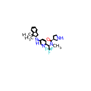 CN(C(=O)[C@H]1CCNC1)[C@@H](c1ccc(N[C@H]2Cc3ccccc3C2(C)C)cn1)C(F)(F)F